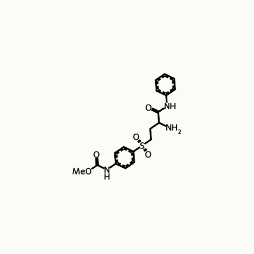 COC(=O)Nc1ccc(S(=O)(=O)CCC(N)C(=O)Nc2ccccc2)cc1